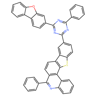 c1ccc(-c2nc(-c3ccc4c(c3)oc3ccccc34)nc(-c3ccc4sc5c(ccc6c(-c7ccccc7)nc7ccccc7c65)c4c3)n2)cc1